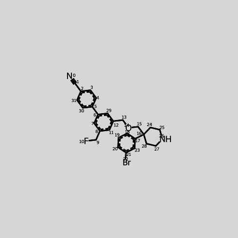 N#Cc1ccc(-c2cc(CF)cc(COCC3(c4cccc(Br)c4)CCNCC3)c2)cc1